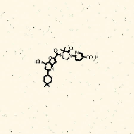 CC1(C)CCC(c2cc(C(C)(C)C)c3oc(C(=O)N4CCN(c5ccc(C(=O)O)cn5)C(=O)C4(C)C)cc3n2)CC1